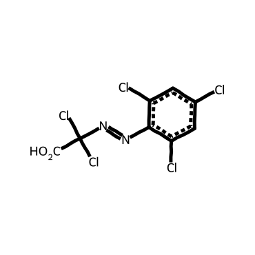 O=C(O)C(Cl)(Cl)N=Nc1c(Cl)cc(Cl)cc1Cl